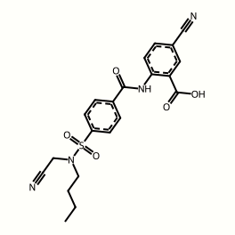 CCCCN(CC#N)S(=O)(=O)c1ccc(C(=O)Nc2ccc(C#N)cc2C(=O)O)cc1